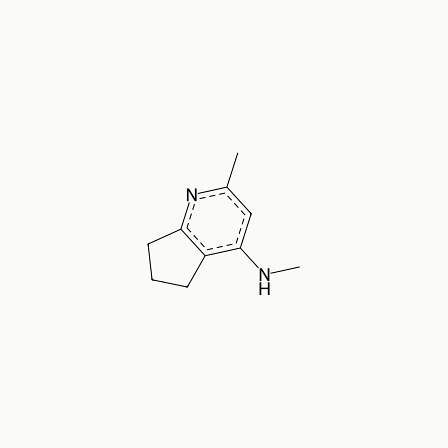 CNc1cc(C)nc2c1CCC2